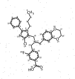 CCCCn1c(-c2ccccc2)nc(Cl)c1CN(Cc1ccc2c(c1)OCCO2)Cc1ccc(C(=O)O)cc1F